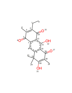 CCC1=C(C)C(=O)c2cc3c(c(O)c2C1=O)C(=O)C(C)=C(O)C3(C)C